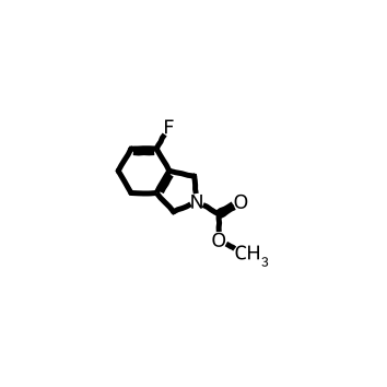 COC(=O)N1CC2=C(C1)C(F)=CCC2